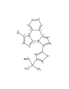 COC(C)(C)c1noc(-c2nnc3c4ccccc4n4c(Cl)ncc4n23)n1